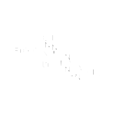 CCOC(=O)c1c(Br)c(-c2cn3cnc(C(F)(F)F)cc3n2)nn1C